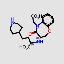 O=C(O)CN1C(=O)[C@@H](N[C@@H](CCC2CCNCC2)C(=O)O)COc2ccccc21